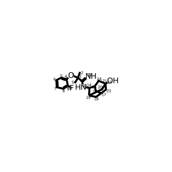 CC(C)(Oc1ccccc1F)C(=N)NC1C2CC3CC1CC(O)(C3)C2